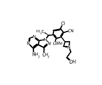 COc1c([C@H](C)n2nc(C)c3c(N)ncnc32)cc(Cl)c(C#N)c1C1CN(CCO)C1